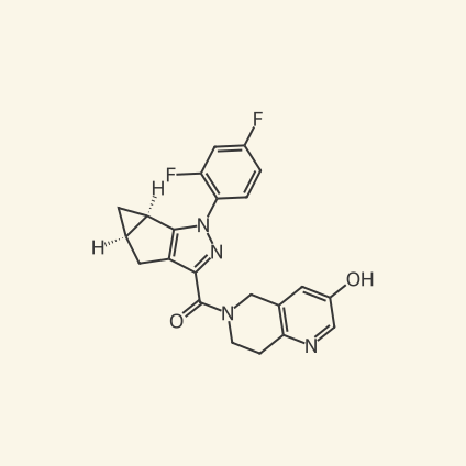 O=C(c1nn(-c2ccc(F)cc2F)c2c1C[C@H]1C[C@@H]21)N1CCc2ncc(O)cc2C1